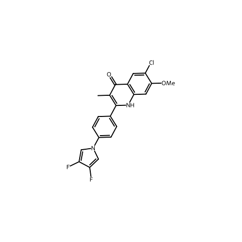 COc1cc2[nH]c(-c3ccc(-n4cc(F)c(F)c4)cc3)c(C)c(=O)c2cc1Cl